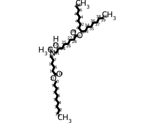 CCCCCCCCCCCOC(=O)CCCCCN(C)CC(O)CCCCCC(=O)OC(CCCCCCCC)CCCCCCCC